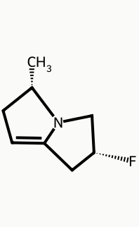 C[C@H]1CC=C2C[C@@H](F)CN21